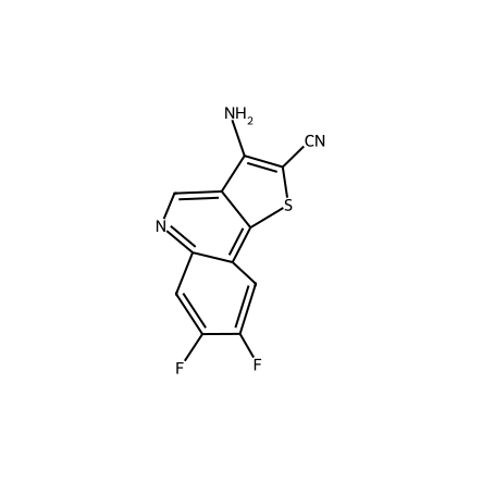 N#Cc1sc2c(cnc3cc(F)c(F)cc32)c1N